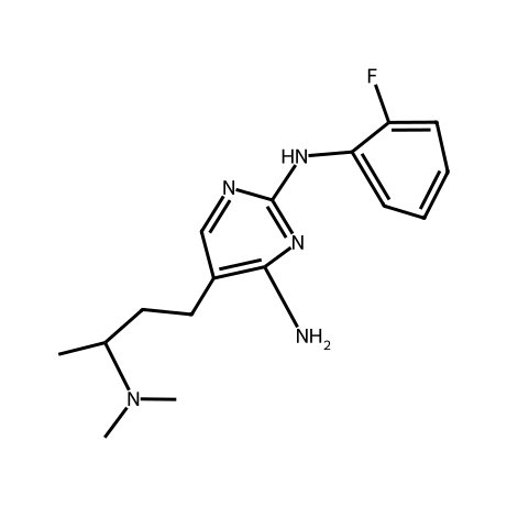 CC(CCc1cnc(Nc2ccccc2F)nc1N)N(C)C